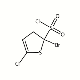 O=S(=O)(Cl)C1(Br)CC=C(Cl)S1